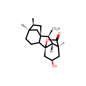 C[C@H]1C[C@]23C[C@H]1CCC2[C@]12C[C@H](O)C[C@](C)(C(=O)O1)[C@H]2[C@@H]3C(=O)O